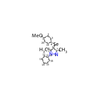 COc1ccc([Se]c2c(C)nn(-c3ccccc3)c2C)cc1